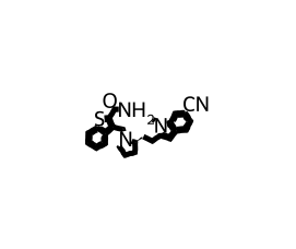 Cn1c(CC[C@@H]2CCCN2Cc2c(C(N)=O)sc3ccccc23)cc2ccc(C#N)cc21